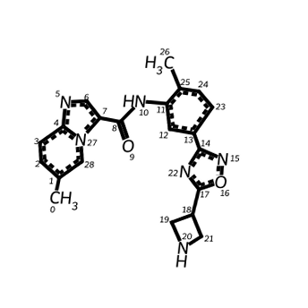 Cc1ccc2ncc(C(=O)Nc3cc(-c4noc(C5CNC5)n4)ccc3C)n2c1